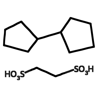 C1CCC(C2CCCC2)C1.O=S(=O)(O)CCS(=O)(=O)O